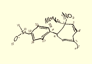 CNC1([N+](=O)[O-])C=CC(F)=CC1c1ccc([S+](C)[O-])cc1